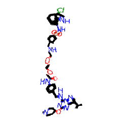 CC(C)c1cnn2c(NCc3ccc(NC(=O)COCCOCCNCc4ccc(S(=O)(=O)Nc5cccc6c(Cl)c[nH]c56)cc4)cc3)nc(OC3CCN(C)CC3)nc12